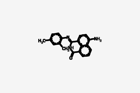 Cc1ccc(N=C2NC(=O)c3cccc4c(N)ccc2c34)c(C)c1